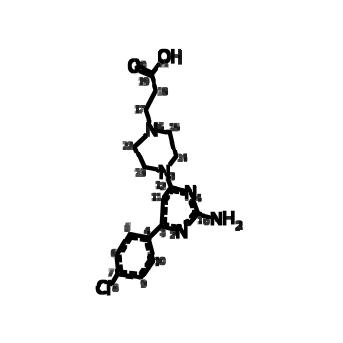 Nc1nc(-c2ccc(Cl)cc2)cc(N2CCN(CCC(=O)O)CC2)n1